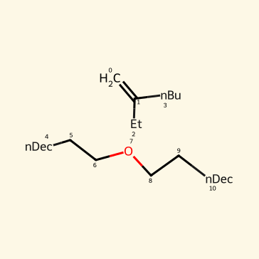 C=C(CC)CCCC.CCCCCCCCCCCCOCCCCCCCCCCCC